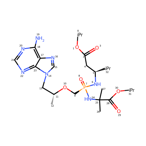 CC(C)OC(=O)C[C@H](N[P@](=O)(CO[C@H](C)Cn1cnc2c(N)ncnc21)NC(C)(C)C(=O)OC(C)C)C(C)C